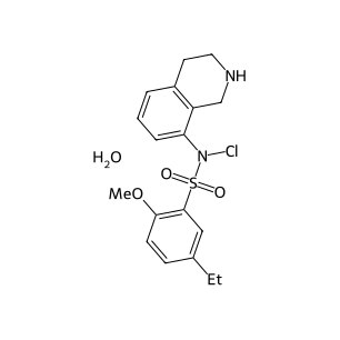 CCc1ccc(OC)c(S(=O)(=O)N(Cl)c2cccc3c2CNCC3)c1.O